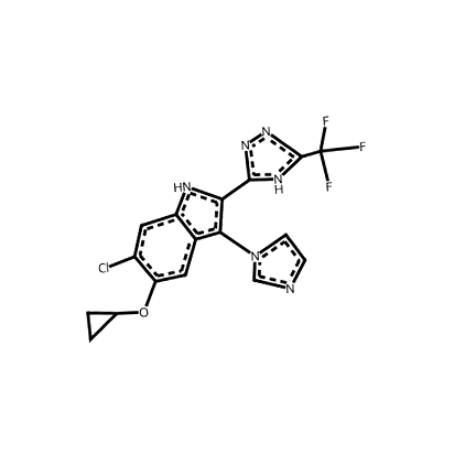 FC(F)(F)c1nnc(-c2[nH]c3cc(Cl)c(OC4CC4)cc3c2-n2ccnc2)[nH]1